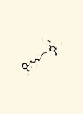 COC(=O)c1ccccc1NC(=O)CCC(=O)NCCCO[C@H]1OC(CO)[C@H](O)[C@H](O)C1NC(C)=O